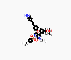 Cc1ccc(S(=O)(=O)n2ccc3c(-c4cc(C(C)(C)O)ccc4Oc4ccc(C#CC5CC6(CNC6)C5)cc4)cn(C)c(=O)c32)cc1